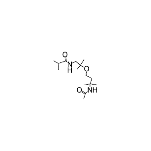 CC(=O)NC(C)(C)CCOC(C)(C)CNC(=O)C(C)C